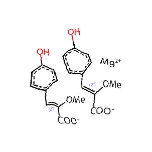 CO/C(=C\c1ccc(O)cc1)C(=O)[O-].CO/C(=C\c1ccc(O)cc1)C(=O)[O-].[Mg+2]